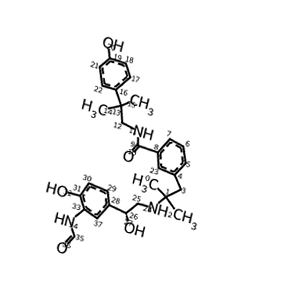 CC(C)(Cc1cccc(C(=O)NCC(C)(C)c2ccc(O)cc2)c1)NC[C@@H](O)c1ccc(O)c(NC=O)c1